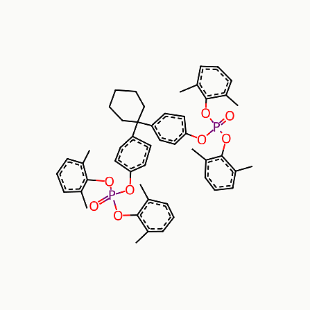 Cc1cccc(C)c1OP(=O)(Oc1ccc(C2(c3ccc(OP(=O)(Oc4c(C)cccc4C)Oc4c(C)cccc4C)cc3)CCCCC2)cc1)Oc1c(C)cccc1C